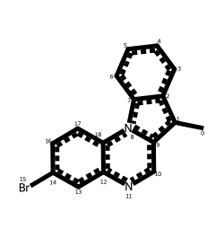 Cc1c2ccccc2n2c1cnc1cc(Br)ccc12